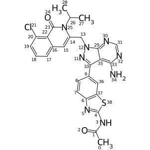 CC(=O)Nc1nc2ccc(-c3nn(Cc4cc5cccc(Cl)c5c(=O)n4C(C)C)c4ncnc(N)c34)cc2s1